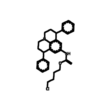 C=C(Nc1cc2c3c(c1)C(c1ccccc1)CCN3CCC2c1ccccc1)OCCCCCl